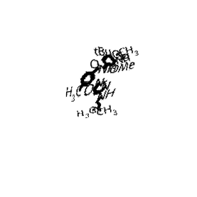 COc1c(NC(=O)c2ccc(C)c(Oc3cc(NCCN(C)C)ncn3)c2)cc(C(C)(C)C)cc1NS(C)(=O)=O